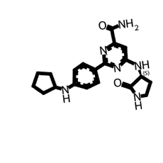 NC(=O)c1cc(N[C@H]2CCNC2=O)nc(-c2ccc(NC3CCCC3)cc2)n1